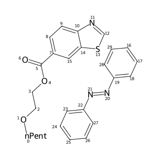 CCCCCOCCOC(=O)c1ccc2ncsc2c1.c1ccc(N=Nc2ccccc2)cc1